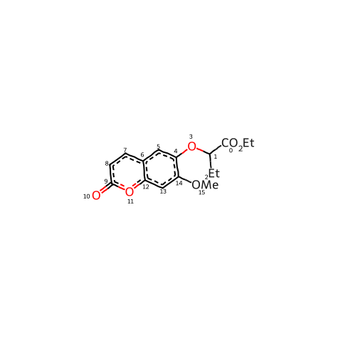 CCOC(=O)C(CC)Oc1cc2ccc(=O)oc2cc1OC